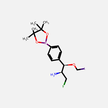 CC1(C)OP(c2ccc([C@@H](OCI)[C@H](N)CF)cc2)OC1(C)C